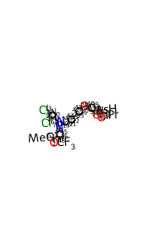 COC(=O)c1cc(-n2cc(-c3ccc(Cl)cc3Cl)nc2Cc2ccc(-c3ccc(Oc4ccc([AsH]S(=O)(=O)CC(C)C)cc4)cc3)cc2)ccc1C(F)(F)F